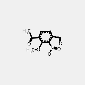 COc1c(C(C)=O)ccc(C=O)c1[N+](=O)[O-]